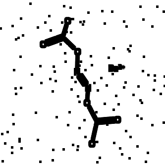 O=C([O-])ON=NOC(=O)[O-].[Ba+2]